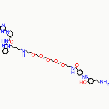 NCCc1ccc(O)c(/N=N/c2ccc(C(=O)NCCCOCCOCCOCCOCCOCCCNCCCCCn3c(NC(=O)[C@H]4CCCN(c5cnccn5)C4)nc4ccccc43)cc2)c1